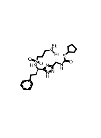 CCN(CC)CCCS(=O)(=O)N[C@H](CCc1ccccc1)c1nc(CNC(=O)SC2CCCC2)n[nH]1